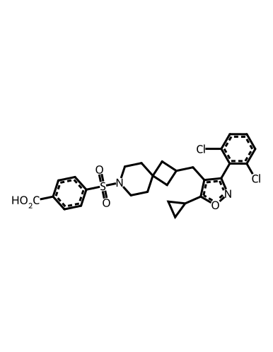 O=C(O)c1ccc(S(=O)(=O)N2CCC3(CC2)CC(Cc2c(-c4c(Cl)cccc4Cl)noc2C2CC2)C3)cc1